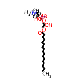 CCCCCCCCCCCCCCCCCC(=O)OC[C@@H](O)COP(=O)(O)OCC[N+](C)(C)C